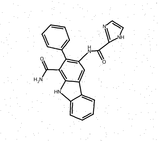 NC(=O)c1c(-c2ccccc2)c(NC(=O)c2ncc[nH]2)cc2c1[nH]c1ccccc12